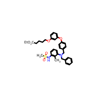 CCOC(=O)CCCCOc1cccc(Oc2ccc(CN(Cc3ccccc3)c3cccc(NS(C)(=O)=O)c3C)cc2)c1